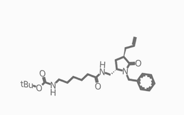 C=CC[C@@H]1C[C@@H](CNC(=O)CCCCCNC(=O)OC(C)(C)C)N(Cc2ccccc2)C1=O